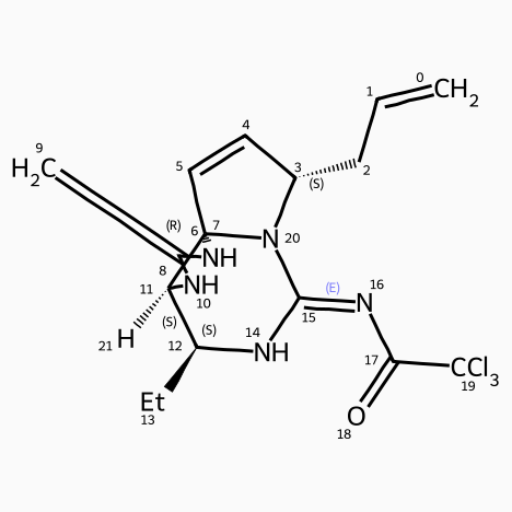 C=CC[C@H]1C=C[C@]23NC(=C)N[C@H]2[C@H](CC)N/C(=N\C(=O)C(Cl)(Cl)Cl)N13